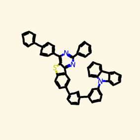 c1ccc(-c2ccc(-c3nc(-c4ccccc4)nc4c3sc3ccc(-c5cccc(-c6cccc(-n7c8ccccc8c8ccccc87)c6)c5)cc34)cc2)cc1